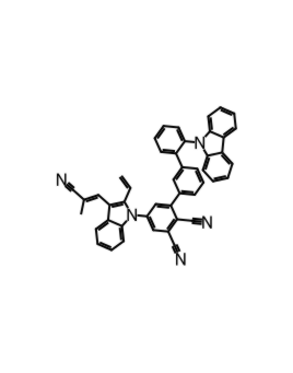 C=Cc1c(/C=C(\C)C#N)c2ccccc2n1-c1cc(C#N)c(C#N)c(-c2cccc(-c3ccccc3-n3c4ccccc4c4ccccc43)c2)c1